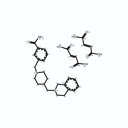 NC(=O)c1cccc(CN2CCC(CN3CCc4ccccc4C3)CC2)c1.O=C(O)C=CC(=O)O.O=C(O)C=CC(=O)O